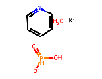 O.O=[PH]([O-])O.[K+].c1ccncc1